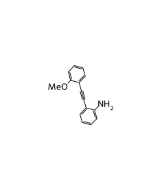 COc1ccccc1C#Cc1ccccc1N